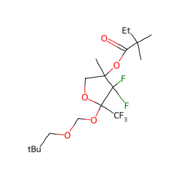 CCC(C)(C)C(=O)OC1(C)COC(OCOCC(C)(C)C)(C(F)(F)F)C1(F)F